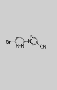 N#Cc1cnn(-c2ccc(Br)nn2)c1